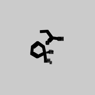 CCC(=O)O.CC[C@]1(N)C=CC=CC1